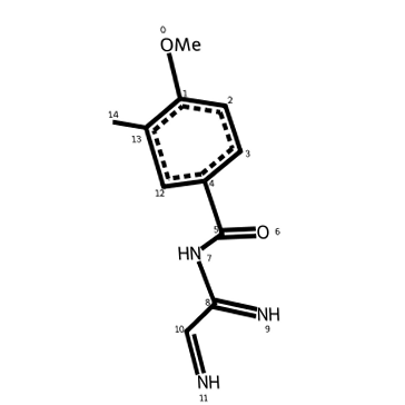 COc1ccc(C(=O)NC(=N)C=N)cc1C